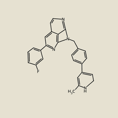 CC1=CC(c2ccc(CN3c4nccc5cc(-c6cccc(F)c6)nc3c45)cc2)=CCN1